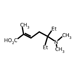 CCC(CC)(CC=C(C)C(=O)O)N(C)C